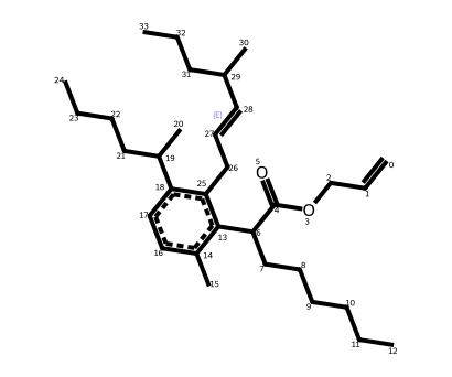 C=CCOC(=O)C(CCCCCC)c1c(C)ccc(C(C)CCCC)c1C/C=C/C(C)CCC